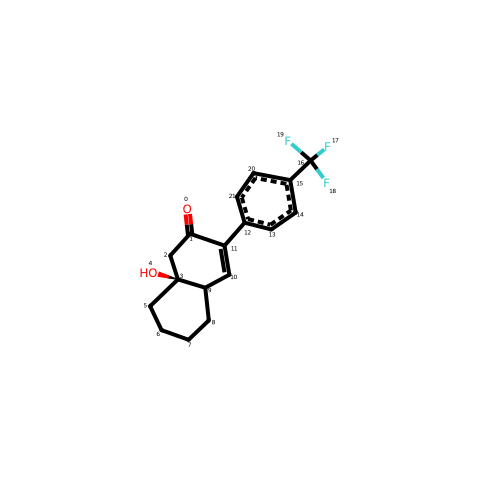 O=C1C[C@@]2(O)CCCCC2C=C1c1ccc(C(F)(F)F)cc1